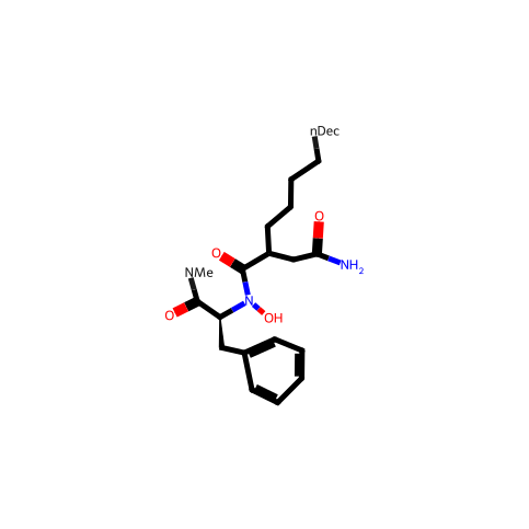 CCCCCCCCCCCCCCC(CC(N)=O)C(=O)N(O)[C@@H](Cc1ccccc1)C(=O)NC